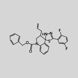 C=CCC1CN(C(=O)OCc2ccccc2)c2ccccc2C12NN=C(c1cc(F)ccc1F)S2